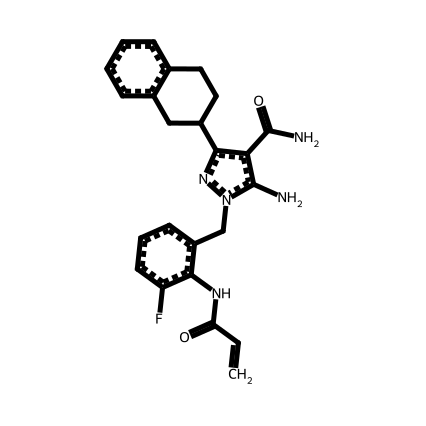 C=CC(=O)Nc1c(F)cccc1Cn1nc(C2CCc3ccccc3C2)c(C(N)=O)c1N